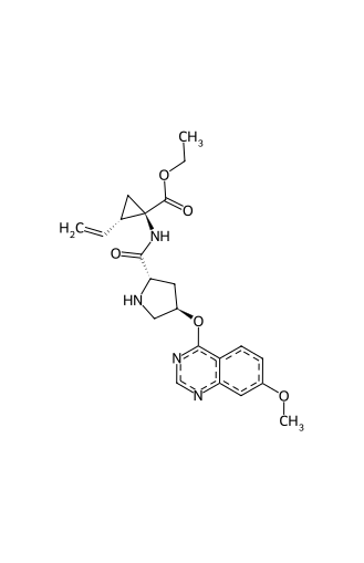 C=C[C@@H]1C[C@]1(NC(=O)[C@@H]1C[C@@H](Oc2ncnc3cc(OC)ccc23)CN1)C(=O)OCC